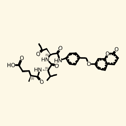 CC(=O)C[C@H](NC(=O)[C@@H](NC(=O)[C@@H](C)CCC(=O)O)C(C)C)C(=O)Nc1ccc(COc2ccc3ccc(=O)oc3c2)cc1